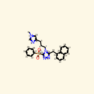 Cn1cnc(CCCn2c(Cc3cccc4ccccc34)nnc2S(=O)(=O)c2ccccc2)c1